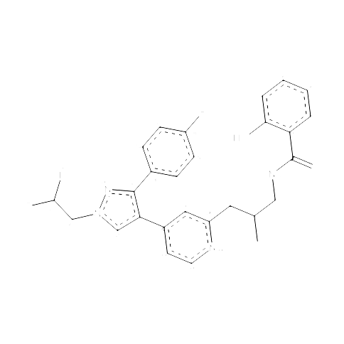 CC(CNC(=O)c1ccccc1O)Cc1cc(-c2cn(CC(F)F)nc2-c2ccc(F)cc2)ccn1